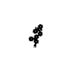 N#Cc1ccc2c3cc(-c4cccc(-c5nc6ccccc6c6nc7ccccn7c56)c4)ccc3n(-c3ccccc3)c2c1